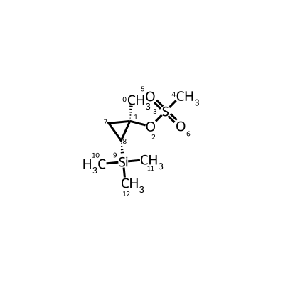 C[C@@]1(OS(C)(=O)=O)C[C@H]1[Si](C)(C)C